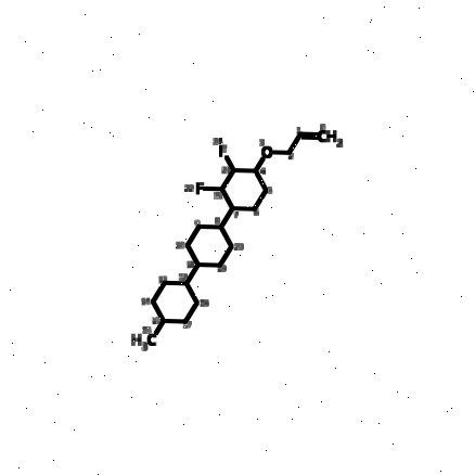 C=CCOC1CCC(C2CCC(C3CCC(C)CC3)CC2)C(F)C1F